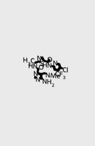 CNCc1c(N)ncnc1C(=O)NC(C)c1ncc(C(=O)Nc2cc(C(F)(F)F)c(Cl)cn2)s1